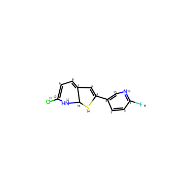 Fc1ccc(C2=CC3=CC=C(Cl)NC3S2)cn1